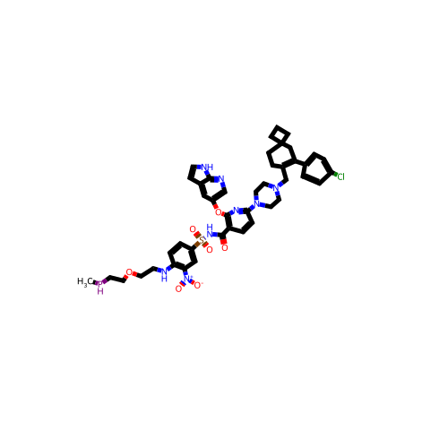 CPCCOCCNc1ccc(S(=O)(=O)NC(=O)c2ccc(N3CCN(CC4=C(c5ccc(Cl)cc5)CC5(CCC5)CC4)CC3)nc2Oc2cnc3[nH]ccc3c2)cc1[N+](=O)[O-]